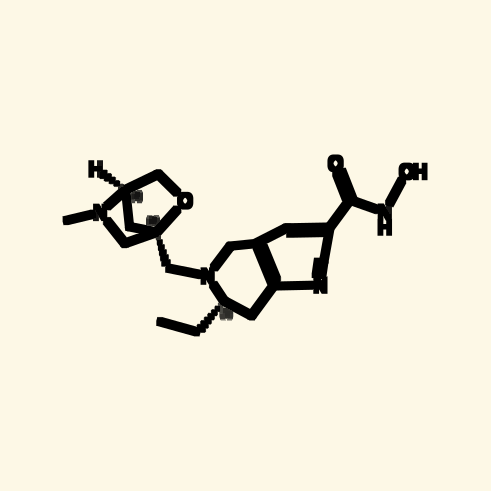 CC[C@H]1Cc2ncc(C(=O)NO)cc2CN1C[C@]12C[C@H](CO1)N(C)C2